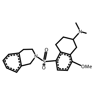 COc1ccc(S(=O)(=O)N2CCc3ccccc3C2)c2c1CC(N(C)C)CC2